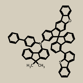 CC1(C)c2ccccc2-c2c(N(c3ccc(-c4ccccc4)cc3)c3ccc4c(c3)C3(c5cc6oc7ccccc7c6cc5-4)c4ccccc4-c4c(-c5cccc6c5sc5ccccc56)cccc43)cccc21